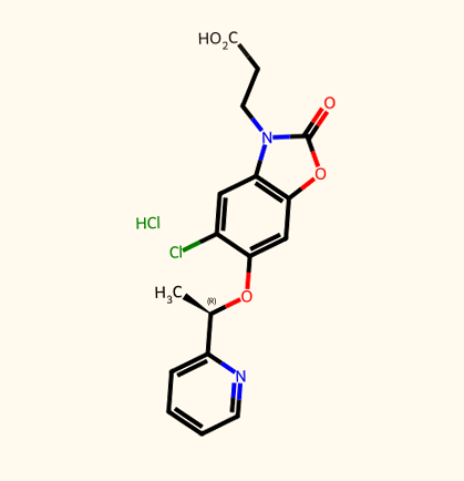 C[C@@H](Oc1cc2oc(=O)n(CCC(=O)O)c2cc1Cl)c1ccccn1.Cl